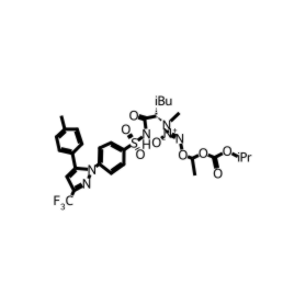 CC[C@@H](C)[C@@H](C(=O)NS(=O)(=O)c1ccc(-n2nc(C(F)(F)F)cc2-c2ccc(C)cc2)cc1)N(C)/[N+]([O-])=N/OC(C)OC(=O)OC(C)C